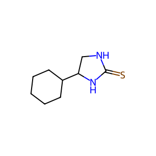 S=C1NCC(C2CCCCC2)N1